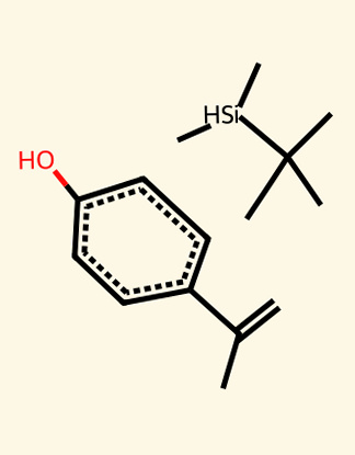 C=C(C)c1ccc(O)cc1.C[SiH](C)C(C)(C)C